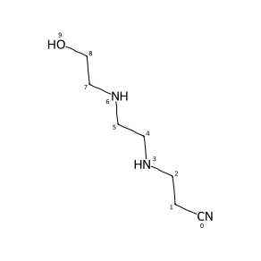 N#CCCNCCNCCO